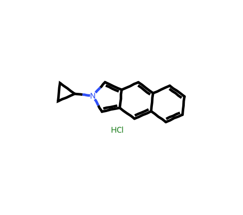 Cl.c1ccc2cc3cn(C4CC4)cc3cc2c1